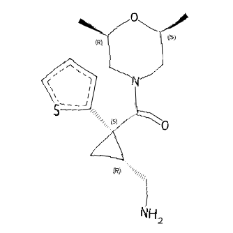 C[C@@H]1CN(C(=O)[C@]2(c3cccs3)C[C@H]2CN)C[C@H](C)O1